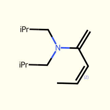 C=C(/C=C\C)N(CC(C)C)CC(C)C